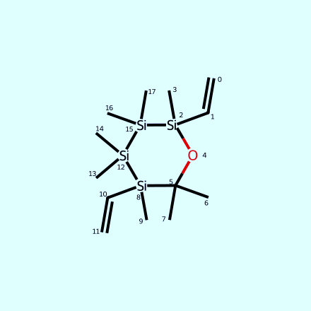 C=C[Si]1(C)OC(C)(C)[Si](C)(C=C)[Si](C)(C)[Si]1(C)C